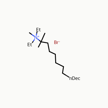 CCCCCCCCCCCCCCCCC(C)(C)[N+](C)(CC)CC.[Br-]